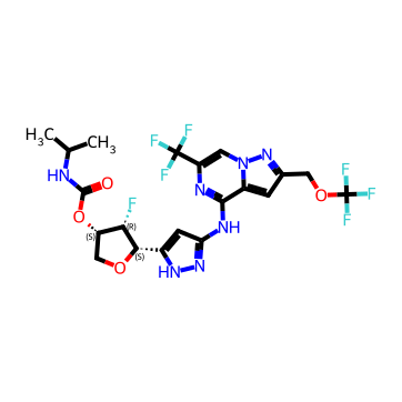 CC(C)NC(=O)O[C@H]1CO[C@@H](c2cc(Nc3nc(C(F)(F)F)cn4nc(COC(F)(F)F)cc34)n[nH]2)[C@H]1F